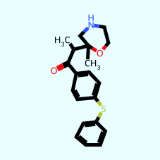 CC(C(=O)c1ccc(Sc2ccccc2)cc1)C1(C)CNCCO1